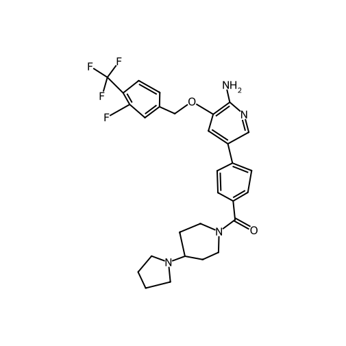 Nc1ncc(-c2ccc(C(=O)N3CCC(N4CCCC4)CC3)cc2)cc1OCc1ccc(C(F)(F)F)c(F)c1